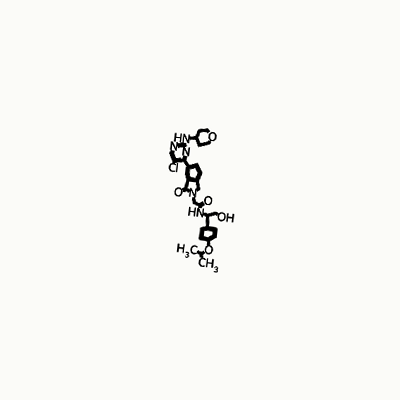 CC(C)Oc1ccc(C(CO)NC(=O)CN2Cc3ccc(-c4nc(NC5CCOCC5)ncc4Cl)cc3C2=O)cc1